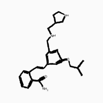 CC(C)COc1cc(/C=C/c2ccccc2C(N)=O)cc(CNCC2CCNC2)c1